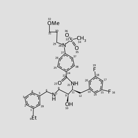 CCc1cccc(CNC[C@H](O)[C@H](Cc2cc(F)cc(F)c2)NC(=O)c2ccc(N(CCCOC)S(C)(=O)=O)cc2)c1